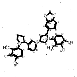 Cc1c(N2CCCC2c2ccc[n+](C3CC(c4ccc5c(c4)OCO5)N(c4ccc(C#N)c(Cl)c4C)C3)c2)ccc(C#N)c1Cl